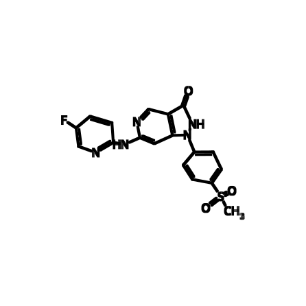 CS(=O)(=O)c1ccc(-n2[nH]c(=O)c3cnc(Nc4ccc(F)cn4)cc32)cc1